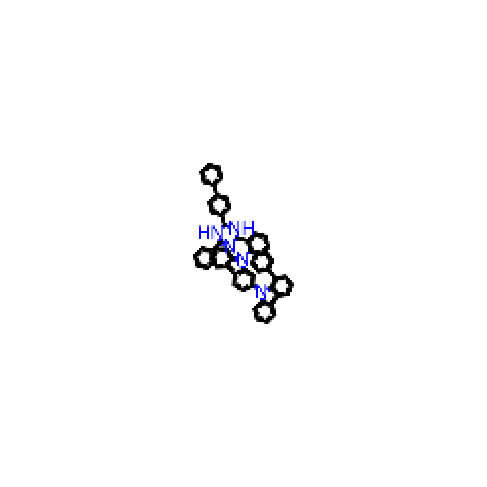 c1ccc(C2=NC(c3ccccc3-n3c4ccccc4c4ccc(-n5c6ccccc6c6cccc(-c7ccccc7)c65)cc43)NC(c3ccc(-c4ccccc4)cc3)N2)cc1